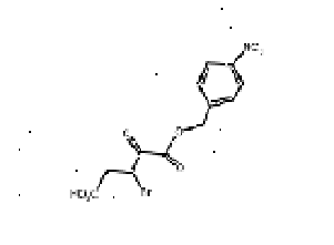 O=C(O)CC(Br)C(=O)C(=O)OCc1ccc([N+](=O)[O-])cc1